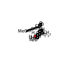 C=C(C)[C@@H]1CC[C@]2(NC[C@H]([C@@H](C)OCCOCCOCCOC)N3CCS(=O)(=O)CC3)CC[C@]3(C)[C@H](CC[C@@H]4[C@@]5(C)CC[C@H](OC(C)=O)C(C)(C)[C@@H]5CC[C@]43C)[C@@H]12